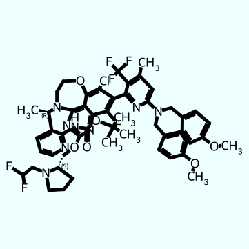 COc1ccc(CN(Cc2ccc(OC)cc2)c2cc(C)c(C(F)(F)F)c(-c3c(Cl)c4c5c(nc(OC[C@@H]6CCCN6CC(F)F)nc5c3F)N([C@H](C)c3cccnc3NC(=O)OC(C)(C)C)CCO4)n2)cc1